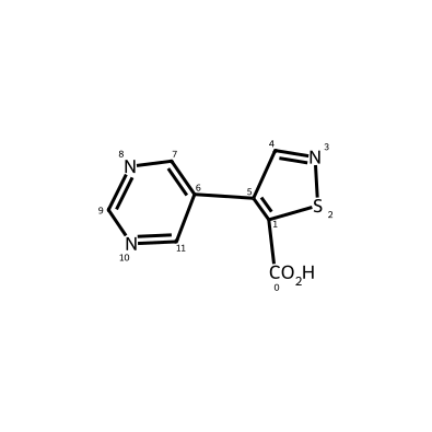 O=C(O)c1sncc1-c1cncnc1